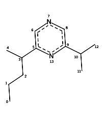 CCCC(C)c1cncc(C(C)C)n1